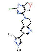 Cc1nn(C)cc1-c1cnc2c(c1)CN(c1nc(Cl)nc3c1COC3)CC2